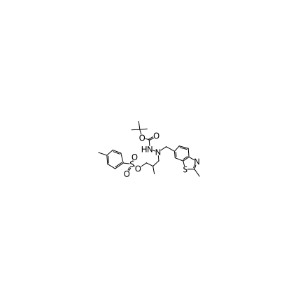 Cc1ccc(S(=O)(=O)OCC(C)CN(Cc2ccc3nc(C)sc3c2)NC(=O)OC(C)(C)C)cc1